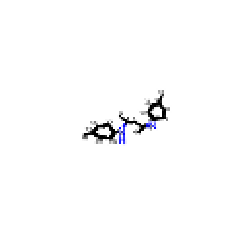 CC(=CC(C)=Nc1ccc(C)cc1)Nc1ccc(C)cc1